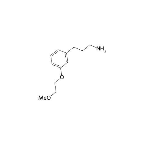 COCCOc1cccc(CCCN)c1